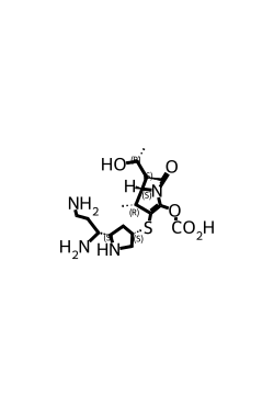 C[C@@H](O)[C@H]1C(=O)N2C(OC(=O)O)=C(S[C@@H]3CN[C@H](C(N)CCN)C3)[C@H](C)[C@H]12